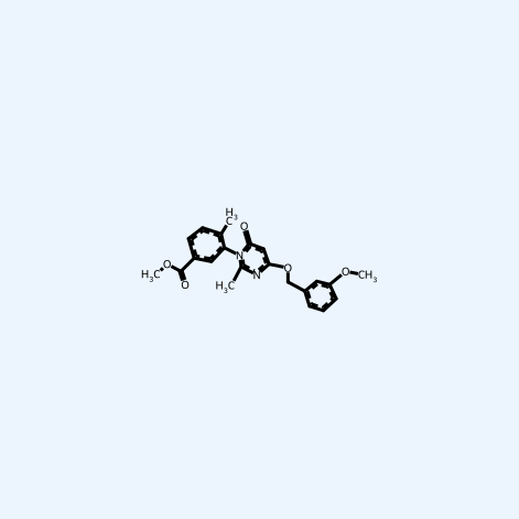 COC(=O)c1ccc(C)c(-n2c(C)nc(OCc3cccc(OC)c3)cc2=O)c1